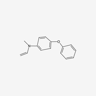 C=CN(C)c1ccc(Oc2ccccc2)cc1